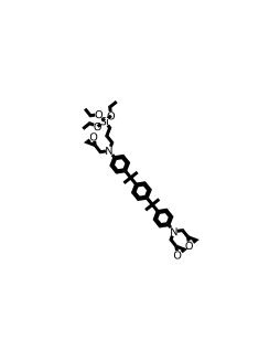 CCO[Si](CCCN(CC1CO1)c1ccc(C(C)(C)c2ccc(C(C)(C)c3ccc(N(CC4CO4)CC4CO4)cc3)cc2)cc1)(OCC)OCC